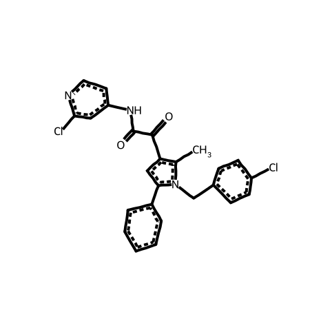 Cc1c(C(=O)C(=O)Nc2ccnc(Cl)c2)cc(-c2ccccc2)n1Cc1ccc(Cl)cc1